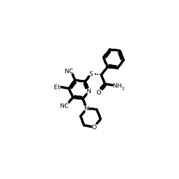 CCc1c(C#N)c(S[C@@H](C(N)=O)c2ccccc2)nc(N2CCOCC2)c1C#N